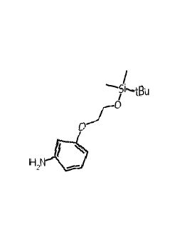 CC(C)(C)[Si](C)(C)OCCOc1cccc(N)c1